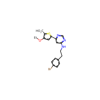 CCOc1cc(-c2cc(NCCc3ccc(Br)cc3)ncn2)sc1C(=O)O